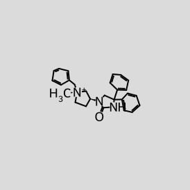 C[N@@+]1(Cc2ccccc2)CC[C@H](N2CC(c3ccccc3)(c3ccccc3)NC2=O)C1